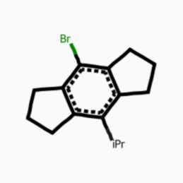 CC(C)c1c2c(c(Br)c3c1CCC3)CCC2